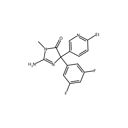 CCc1ccc(C2(c3cc(F)cc(F)c3)N=C(N)N(C)C2=O)cn1